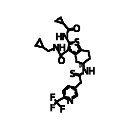 O=C(NCC1CC1)c1c(NC(=O)C2CC2)sc2c1C[C@@H](NC(=S)Cc1ccc(C(F)(F)F)nc1)CC2